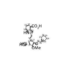 COc1ccc(/C=C/c2nc3c(C(=O)O)cccc3[nH]2)cc1OCCN1CCCCC1.Cl.Cl